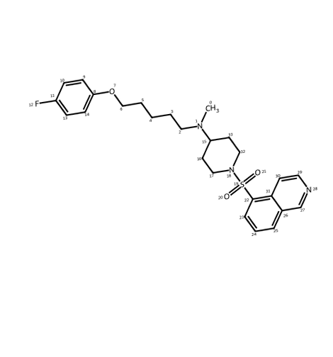 CN(CCCCCOc1ccc(F)cc1)C1CCN(S(=O)(=O)c2cccc3cnccc23)CC1